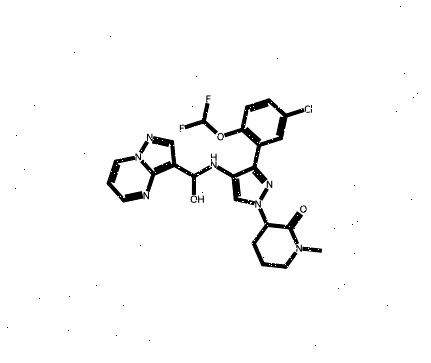 CN1CCCC(n2cc(NC(O)c3cnn4cccnc34)c(-c3cc(Cl)ccc3OC(F)F)n2)C1=O